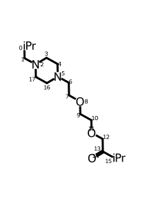 CC(C)CN1CCN(CCOCCOCC(=O)C(C)C)CC1